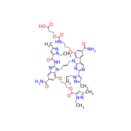 CCn1nc(C)cc1C(=O)Nc1nc2cc(C(N)=O)cc(OCCCOC(=O)c3cc(C)nn3CC)c2n1C/C=C/Cn1c2nc(-c3cc(C)nn3CC)ncc2c2cc(C(N)=O)cc(OCCCNC(=O)OCCC(=O)O)c21